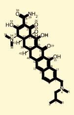 CC(C)CN(C)Cc1ccc2cc3c(c(O)c2c1)C(=O)C1=C(O)[C@]2(O)C(=O)C(C(N)=O)=C(O)[C@@H](N(C)C)[C@@H]2C[C@@H]1C3